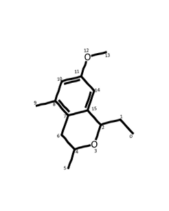 CCC1OC(C)Cc2c(C)cc(OC)cc21